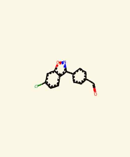 O=Cc1ccc(-c2noc3cc(Cl)ccc23)cc1